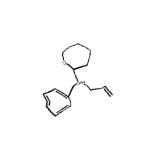 C=CC[SiH](c1ccccc1)C1CCCCO1